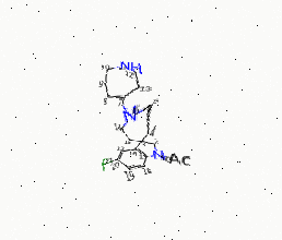 CC(=O)N1CC2(CCN(C3CCCNCC3)CC2)C2=C1CCC(F)=C2